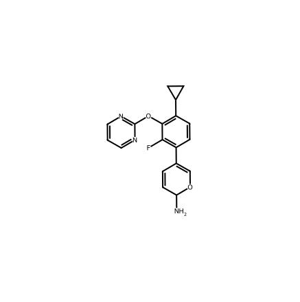 NC1C=CC(c2ccc(C3CC3)c(Oc3ncccn3)c2F)=CO1